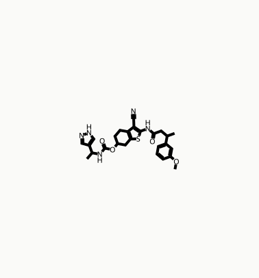 COc1cccc(C(C)CC(=O)Nc2sc3c(c2C#N)CCC(OC(=O)NC(C)c2cn[nH]c2)C3)c1